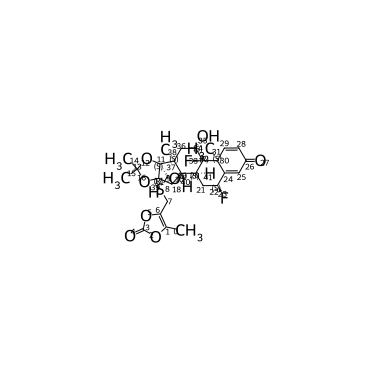 Cc1oc(=O)oc1CSC(=O)[C@@]12OC(C)(C)O[C@@H]1C[C@H]1[C@@H]3C[C@H](F)C4=CC(=O)C=C[C@]4(C)[C@@]3(F)[C@@H](O)C[C@@]12C